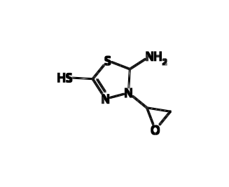 NC1SC(S)=NN1C1CO1